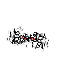 CC1(C)CC(C(CC(C)(C)C2OCC3(CO2)COC(C(C)(C)CC(C2CC(C)(C)NC(C)(C)C2)(C2CC(C)(C)NC(C)(C)C2)C2CC(C)(C)NC(C)(C)C2)OC3)(C2CC(C)(C)NC(C)(C)C2)C2CC(C)(C)NC(C)(C)C2)CC(C)(C)N1